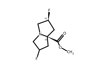 COC(=O)[C@@]12CC(F)CN1C[C@@H](F)C2